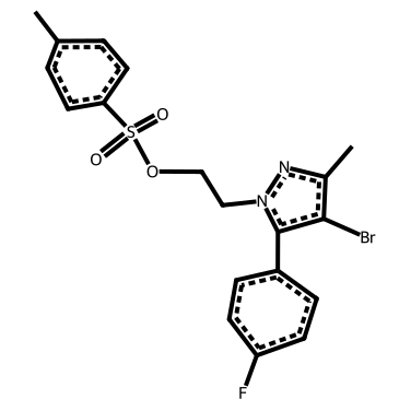 Cc1ccc(S(=O)(=O)OCCn2nc(C)c(Br)c2-c2ccc(F)cc2)cc1